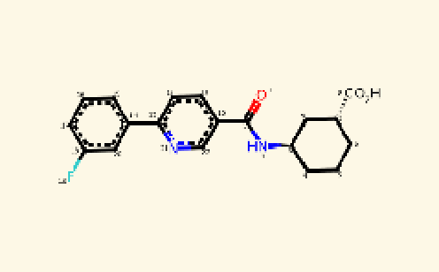 O=C(N[C@@H]1CCC[C@@H](C(=O)O)C1)c1ccc(-c2cccc(F)c2)nc1